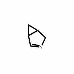 C1=NCC2CC12